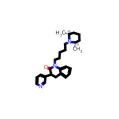 C[C@@H]1CCC[C@H](C)N1CCCCCN1C(=O)C(c2cccnc2)Cc2ccccc21